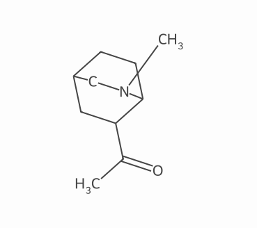 CC(=O)C1CC2CCC1N(C)C2